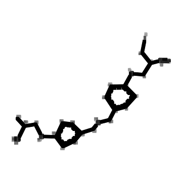 COC(CI)COc1ccc(COCc2ccc(OCC(C)O)cc2)cc1